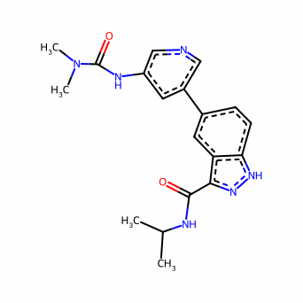 CC(C)NC(=O)c1n[nH]c2ccc(-c3cncc(NC(=O)N(C)C)c3)cc12